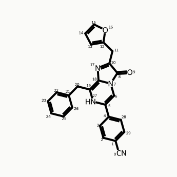 N#Cc1ccc(-c2cn3c(=O)c(Cc4ccco4)nc-3c(Cc3ccccc3)[nH]2)cc1